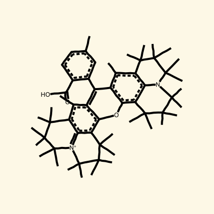 Cc1ccc(C(=O)O)c(C2=c3c(C)c4c5c(c3Oc3c2c(C)c2c6c3C(C)(C)C(C)(C)C(C)(C)N6C(C)(C)C(C)(C)C2(C)C)C(C)(C)C(C)(C)C(C)(C)[N+]=5C(C)(C)C(C)(C)C4(C)C)c1